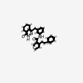 O=C(Nc1cccc(Cc2n[nH]c(=O)c3c2CCCC3)c1)c1ccccc1CCc1ccccc1